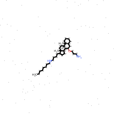 CCCCCCCCNCCCCC1CCC2C3[C@H](OCCCN)CC4CCCCC4(C)[C@H]3CCC12C